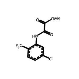 COC(=O)C(=O)Nc1cc(Cl)ccc1C(F)(F)F